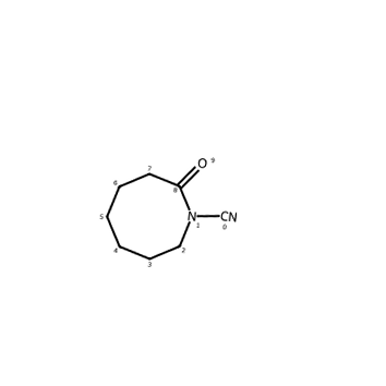 N#CN1CCCCCCC1=O